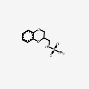 NS(=O)(=O)NCC1COc2ccccc2O1